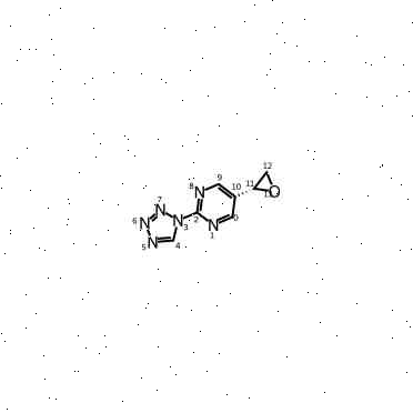 c1nc(-n2cnnn2)ncc1[C@@H]1CO1